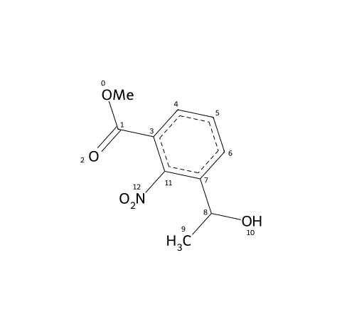 COC(=O)c1cccc(C(C)O)c1[N+](=O)[O-]